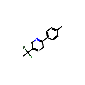 Cc1ccc(C2=NCC(C(C)(F)F)=BC2)cc1